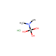 CCCN(C)[Si](O)(O)O.Cl